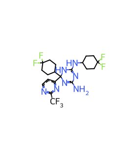 NC1=NC(c2ccnc(C(F)(F)F)n2)(C2CCC(F)(F)CC2)NC(NC2CCC(F)(F)CC2)=N1